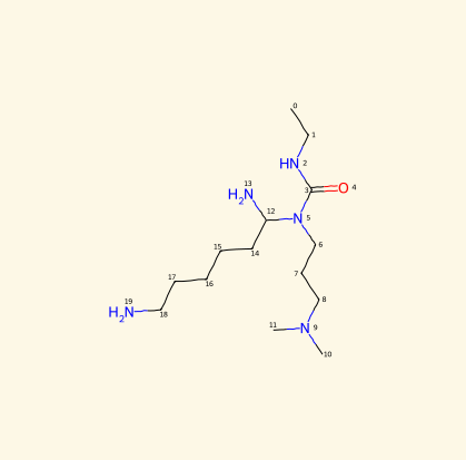 CCNC(=O)N(CCCN(C)C)C(N)CCCCCN